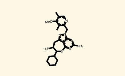 COc1c(C)cnc(Cn2nc3c4c(nc(N)nc42)SC(C2CCCCC2)C(N)C3)c1C